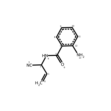 C=CC(C#N)NC(=O)c1ccccc1N